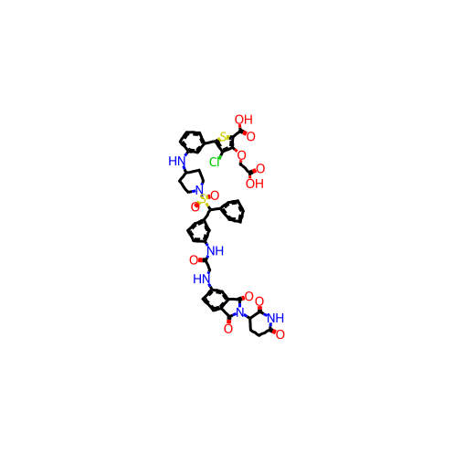 O=C(O)COc1c(C(=O)O)sc(-c2cccc(NC3CCN(S(=O)(=O)C(c4ccccc4)c4cccc(NC(=O)CNc5ccc6c(c5)C(=O)N(C5CCC(=O)NC5=O)C6=O)c4)CC3)c2)c1Cl